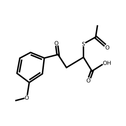 COc1cccc(C(=O)CC(SC(C)=O)C(=O)O)c1